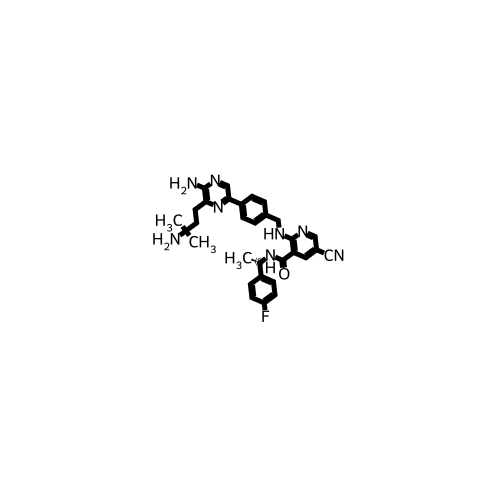 C[C@H](NC(=O)c1cc(C#N)cnc1NCc1ccc(-c2cnc(N)c(CCC(C)(C)N)n2)cc1)c1ccc(F)cc1